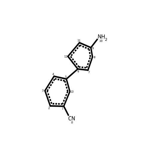 N#Cc1cccc(-c2ccc(N)cc2)c1